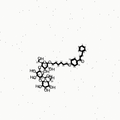 O=C(/C=C/c1ccccc1)c1ccc(OCCCCCCO[C@@H]2O[C@H](CO)[C@@H](O[C@H]3O[C@@H](CO)[C@@H](O[C@H]4O[C@H](CO)[C@H](O)[C@H](O)[C@H]4O)[C@@H](O)[C@@H]3O)[C@H](O)[C@H]2O)cc1